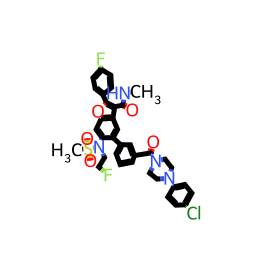 CNC(=O)c1c(-c2ccc(F)cc2)oc2cc(N(CCF)S(C)(=O)=O)c(-c3cccc(C(=O)N4CCN(c5ccc(Cl)cc5)CC4)c3)cc12